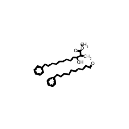 C=C(C(=O)OC)C(O)CCCCCCCCCc1ccccc1.O=CCCCCCCCCCc1ccccc1